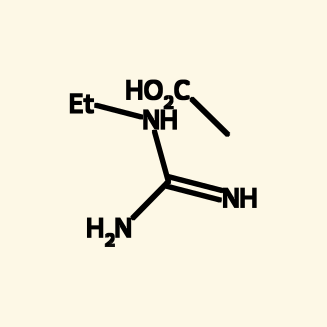 CC(=O)O.CCNC(=N)N